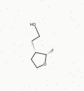 OCC[C@H]1CCO[C@H]1F